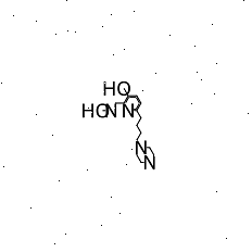 CN1CCN(CCCCc2ccc(O)c(C=NO)n2)CC1